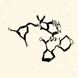 CC1(C)c2[nH]nc(NC(=O)c3ccccc3N3CCOCC3)c2CN1Cc1cc(F)cc(F)c1